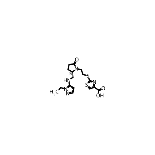 CCn1nccc1NC[C@H]1CCC(=O)N1CCSc1nc(C(=O)O)cs1